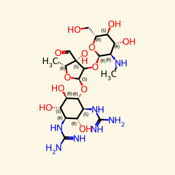 CN[C@H]1[C@@H](OC2[C@@H](O[C@H]3[C@H](O)[C@@H](O)[C@H](NC(=N)N)[C@@H](O)[C@@H]3NC(=N)N)O[C@H](C)[C@@]2(O)C=O)O[C@H](CO)[C@@H](O)[C@@H]1O